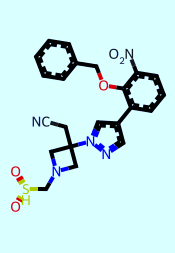 N#CCC1(n2cc(-c3cccc([N+](=O)[O-])c3OCc3ccccc3)cn2)CN(C[SH](=O)=O)C1